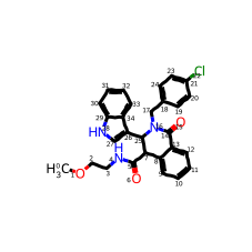 COCCNC(=O)C1c2ccccc2C(=O)N(Cc2ccc(Cl)cc2)C1c1c[nH]c2ccccc12